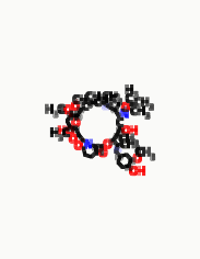 CC[C@@H]1/C=C(\C)C[C@H](C)C[C@H](OC)[C@H]2O[C@@](O)(C(=O)C(=O)N3CCCC[C@H]3C(=O)O[C@H](/C(C)=C/[C@@H]3CC[C@@H](O)[C@H](OC)C3)[C@H](C)[C@@H](O)C/C1=N/OC(C)(C)C)[C@H](C)C[C@@H]2OC